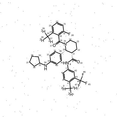 [2H]C([2H])([2H])c1ccc(NC(=O)[C@H]2CCCN(C(=O)c3c(F)cccc3C([2H])([2H])[2H])[C@H]2c2ccc(NC3CCCC3)cc2)cc1C(F)(F)F